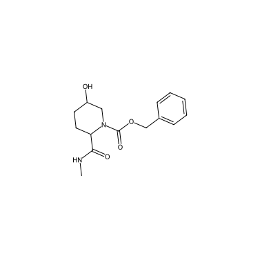 CNC(=O)C1CCC(O)CN1C(=O)OCc1ccccc1